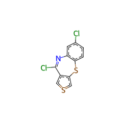 ClC1=Nc2cc(Cl)ccc2Sc2cscc21